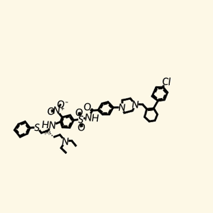 CCN(CC)CC[C@H](CSc1ccccc1)Nc1ccc(S(=O)(=O)NC(=O)c2ccc(N3CCN(CC4=C(c5ccc(Cl)cc5)CCCC4)CC3)cc2)cc1[N+](=O)[O-]